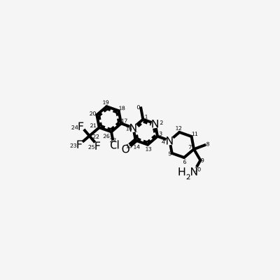 Cc1nc(N2CCC(C)(CN)CC2)cc(=O)n1-c1cccc(C(F)(F)F)c1Cl